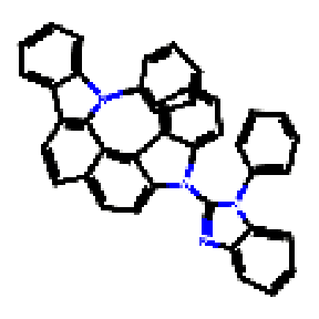 c1ccc(-n2c(-n3c4ccccc4c4c5c(ccc6c7ccccc7n(-c7ccccc7)c65)ccc43)nc3ccccc32)cc1